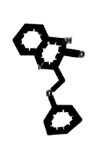 O=c1[nH]c2ccccc2nc1COc1ccccc1